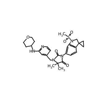 CC1(C)C(=O)N(c2ccc3c(c2)N(S(C)(=O)=O)CC32CC2)C(=O)N1Cc1ccnc(NC2CCOCC2)c1